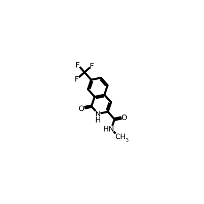 CNC(=O)c1cc2ccc(C(F)(F)F)cc2c(=O)[nH]1